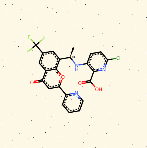 C[C@@H](Nc1ccc(Cl)nc1C(=O)O)c1cc(C(F)(F)F)cc2c(=O)cc(-c3ccccn3)oc12